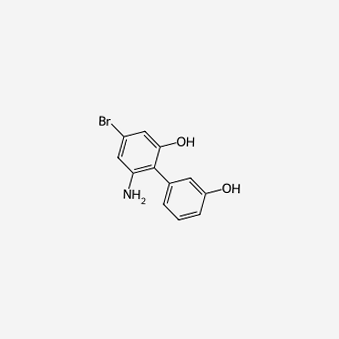 Nc1cc(Br)cc(O)c1-c1cccc(O)c1